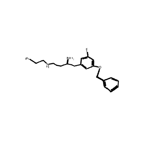 CC(C)CCNC[CH]C(N)Cc1cc(F)cc(OCc2ccccc2)c1